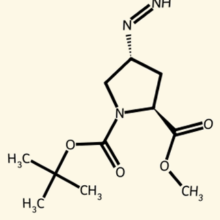 COC(=O)[C@@H]1C[C@@H](N=N)CN1C(=O)OC(C)(C)C